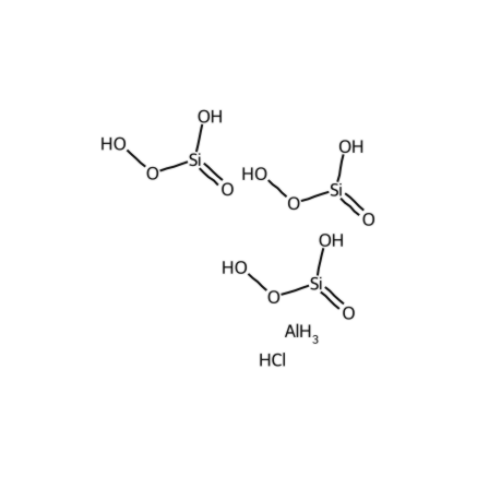 Cl.O=[Si](O)OO.O=[Si](O)OO.O=[Si](O)OO.[AlH3]